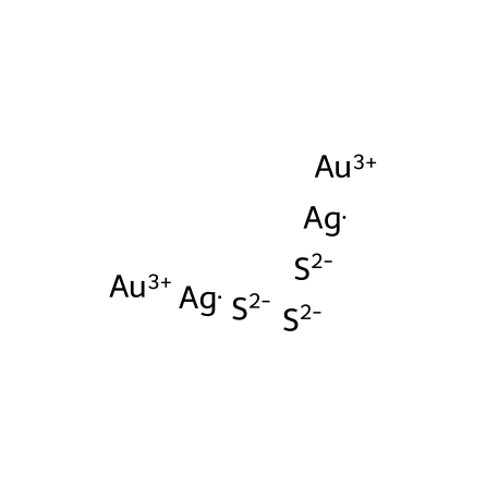 [Ag].[Ag].[Au+3].[Au+3].[S-2].[S-2].[S-2]